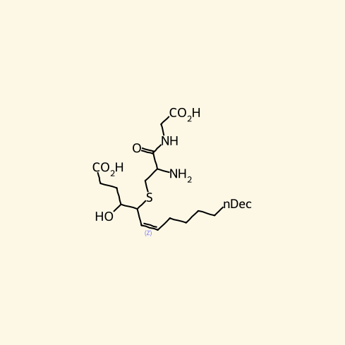 CCCCCCCCCCCCCC/C=C\C(SCC(N)C(=O)NCC(=O)O)C(O)CCC(=O)O